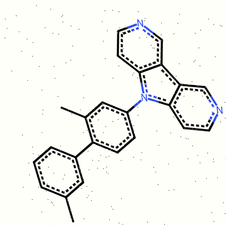 Cc1cccc(-c2ccc(-n3c4ccncc4c4cnccc43)cc2C)c1